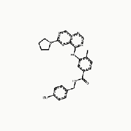 Cc1ccc(C(=O)NCc2ccc(C(C)(C)C)cc2)cc1Nc1ncnc2cnc(N3CCCC3)nc12